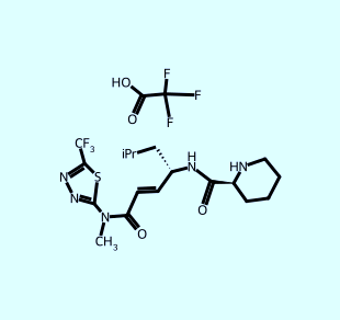 CC(C)C[C@@H](/C=C/C(=O)N(C)c1nnc(C(F)(F)F)s1)NC(=O)[C@@H]1CCCCN1.O=C(O)C(F)(F)F